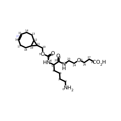 NCCCCC(NC(=O)OCC1C2CC/C=C\CCC21)C(=O)NCCOCCC(=O)O